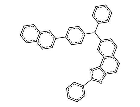 c1ccc(-c2nc3c(ccc4ccc(N(c5ccccc5)c5ccc(-c6ccc7ccccc7c6)cc5)cc43)o2)cc1